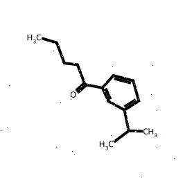 CCCCC(=O)c1cccc(C(C)C)c1